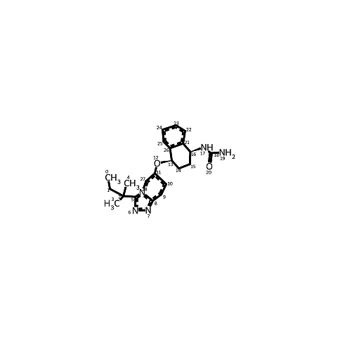 CCC(C)(C)c1nnc2ccc(O[C@@H]3CC[C@H](NC(N)=O)c4ccccc43)cn12